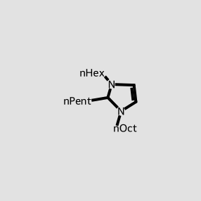 CCCCCCCCN1C=CN(CCCCCC)C1CCCCC